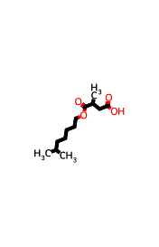 CC(C)CCCCCOC(=O)C(C)CC(=O)O